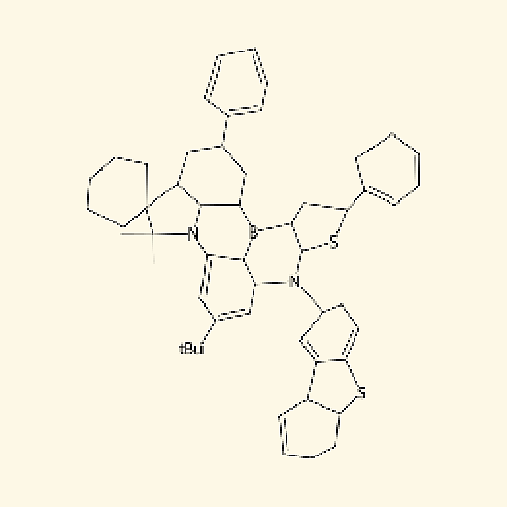 CC(C)(C)C1=CC2C3B(C4CC(C5=CC=CCC5)SC4N2C2C=C4C(=CC2)SC2CCC=CC42)C2CC(c4ccccc4)CC4C2N(C3=C1)C(C)(C)C41CCCCC1